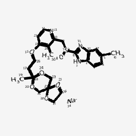 Cc1ccc2[nH]c([S+]([O-])Cc3nccc(OCCC4(C)OCC5(CO4)OCCO5)c3C)nc2c1.[Na]